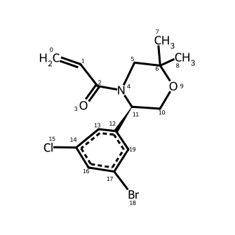 C=CC(=O)N1CC(C)(C)OC[C@H]1c1cc(Cl)cc(Br)c1